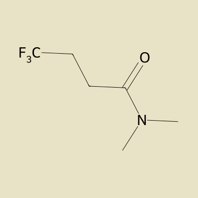 CN(C)C(=O)CCC(F)(F)F